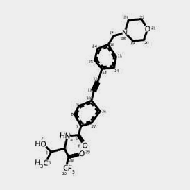 CC(O)C(NC(=O)c1ccc(C#Cc2ccc(CN3CCOCC3)cc2)cc1)C(=O)C(F)(F)F